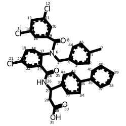 Cc1ccc(CN(C(=O)c2cc(Cl)cc(Cl)c2)c2ccc(Cl)cc2C(=O)NC(CC(=O)O)c2ccc(-c3ccccc3)cc2)cc1